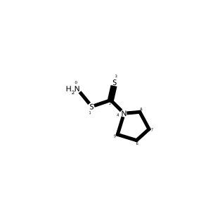 NSC(=S)N1CCCC1